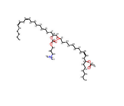 CCCCC/C=C\C/C=C\CCCCCCCCC(COCCCCCCCC/C=C\CC(CCCCCC)OC(C)=O)OC(=O)OCCCN(C)C